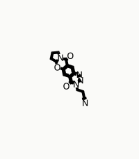 N#CCCn1nnc2cc3c(cc2c1=O)OC1CCCN1C3=O